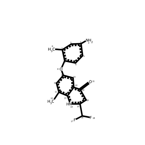 Cc1cc(N)ccc1Oc1cc(C)c2[nH]c(C(F)F)cc(=O)c2c1